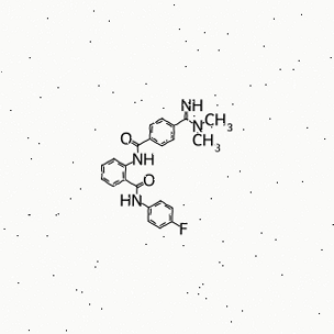 CN(C)C(=N)c1ccc(C(=O)Nc2ccccc2C(=O)Nc2ccc(F)cc2)cc1